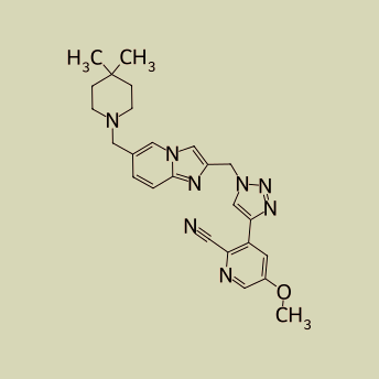 COc1cnc(C#N)c(-c2cn(Cc3cn4cc(CN5CCC(C)(C)CC5)ccc4n3)nn2)c1